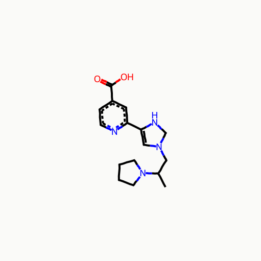 CC(CN1C=C(c2cc(C(=O)O)ccn2)NC1)N1CCCC1